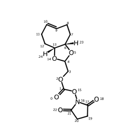 O=C(OCC1O[C@H]2CC/C=C/CC[C@H]2O1)ON1C(=O)CCC1=O